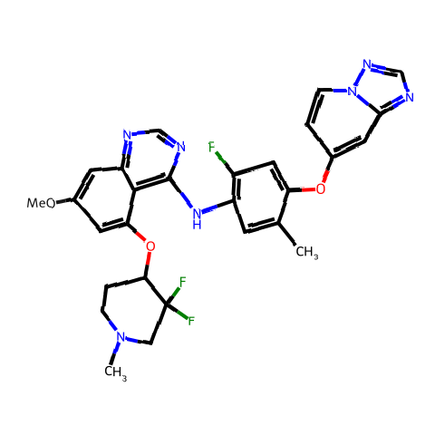 COc1cc(OC2CCN(C)CC2(F)F)c2c(Nc3cc(C)c(Oc4ccn5ncnc5c4)cc3F)ncnc2c1